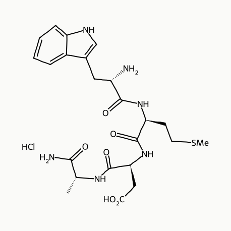 CSCC[C@H](NC(=O)[C@@H](N)Cc1c[nH]c2ccccc12)C(=O)N[C@@H](CC(=O)O)C(=O)N[C@H](C)C(N)=O.Cl